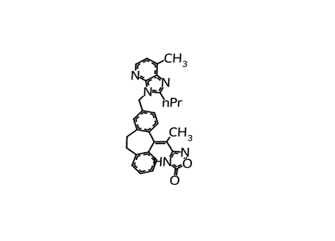 CCCc1nc2c(C)ccnc2n1Cc1ccc2c(c1)CCc1ccccc1/C2=C(/C)c1noc(=O)[nH]1